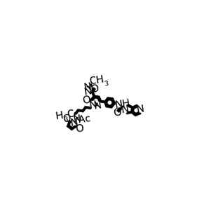 CC(=O)N(C(C)CCCCn1nc(-c2ccc(NC(=O)N3Cc4ccncc4C3)cc2)cc(-c2nnc(C)o2)c1=O)N1C(=O)C=CC1=O